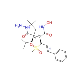 CC(C)C[C@](CC(C)(C)C)(C(=O)NN)[C@@H](C(=O)NO)C(/C=C/c1ccccc1)S(C)(=O)=O